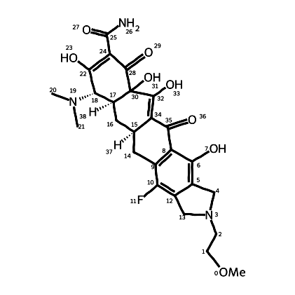 COCCN1Cc2c(O)c3c(c(F)c2C1)C[C@H]1C[C@H]2[C@H](N(C)C)C(O)=C(C(N)=O)C(=O)C2(O)C(O)=C1C3=O